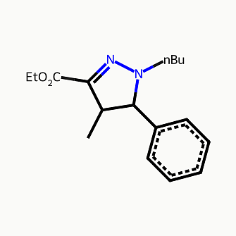 CCCCN1N=C(C(=O)OCC)C(C)C1c1ccccc1